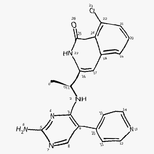 C[C@H](Nc1nc(N)ncc1-c1ccncc1)c1cc2cccc(Cl)c2c(=O)[nH]1